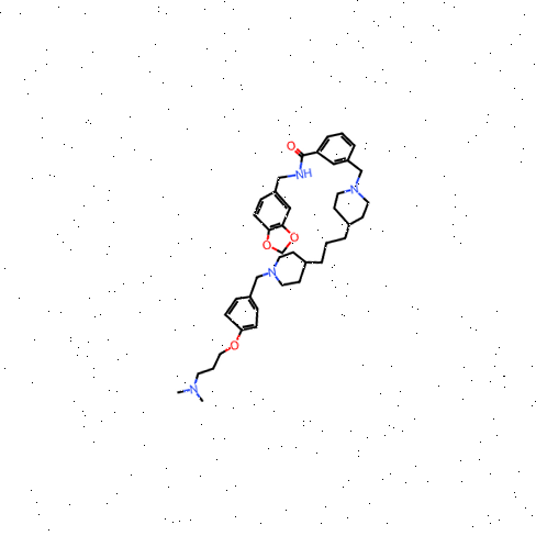 CN(C)CCCOc1ccc(CN2CCC(CCCC3CCN(Cc4cccc(C(=O)NCc5ccc6c(c5)OCO6)c4)CC3)CC2)cc1